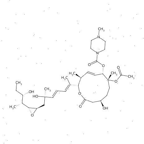 CC[C@H](O)[C@@H](C)[C@H]1O[C@@H]1C[C@@](C)(O)/C=C/C=C(\C)[C@H]1OC(=O)C[C@H](O)CC[C@@](C)(OC(C)=O)[C@@H](OC(=O)N2CCN(C)CC2)/C=C/[C@@H]1C